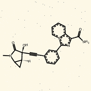 CN1C(=O)[C@](O)(C#Cc2cccc(-c3nc(C(N)=O)c4ccccn34)c2)[C@H]2CC21